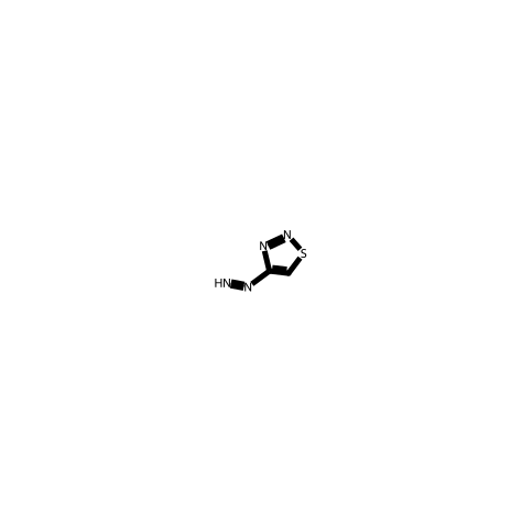 N=Nc1csnn1